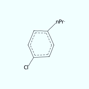 [CH2]C[CH]c1ccc(Cl)cc1